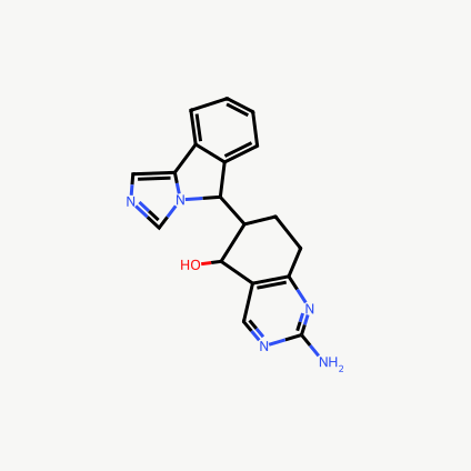 Nc1ncc2c(n1)CCC(C1c3ccccc3-c3cncn31)C2O